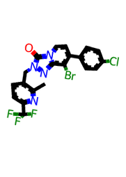 Cc1nc(C(F)(F)F)ccc1Cn1nc2c(Br)c(-c3ccc(Cl)cc3)ccn2c1=O